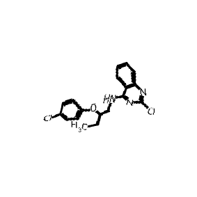 CCC(CNc1nc(Cl)nc2ccccc12)Oc1ccc(Cl)cc1